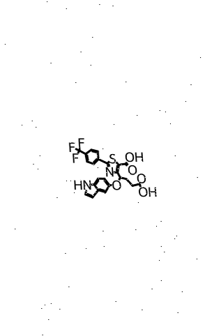 O=C(O)CCC(Oc1ccc2[nH]ccc2c1)c1nc(-c2ccc(C(F)(F)F)cc2)sc1C(=O)O